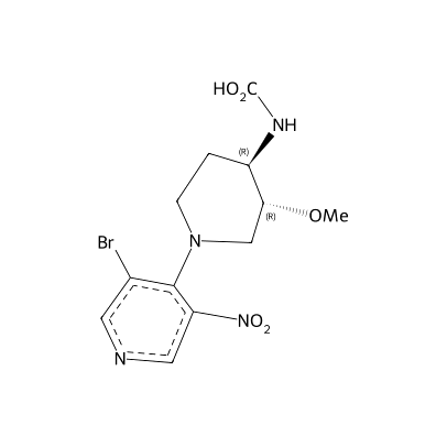 CO[C@@H]1CN(c2c(Br)cncc2[N+](=O)[O-])CC[C@H]1NC(=O)O